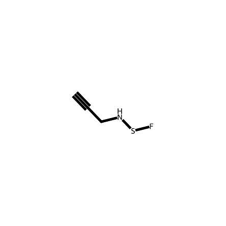 C#CCNSF